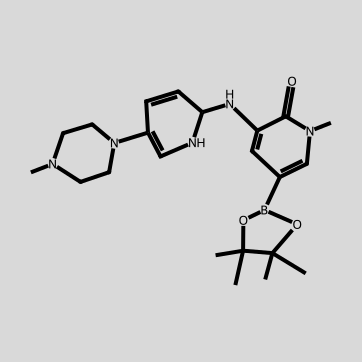 CN1CCN(C2=CNC(Nc3cc(B4OC(C)(C)C(C)(C)O4)cn(C)c3=O)C=C2)CC1